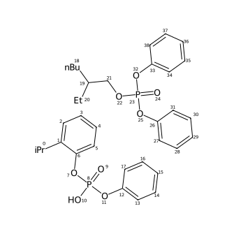 CC(C)c1ccccc1OP(=O)(O)Oc1ccccc1.CCCCC(CC)COP(=O)(Oc1ccccc1)Oc1ccccc1